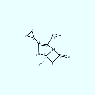 O=C(O)C1=C(C2CC2)S[C@@H]2CC(=O)N12